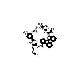 CC(C)(C)OC(=O)N[C@@H](CSC(c1ccccc1)(c1ccccc1)c1ccccc1)C(=O)O.CCOc1cc(C(=O)N[C@@H](CCSC)C(=O)OC)ccc1N